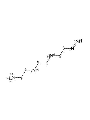 N=NCCNCCNCCN